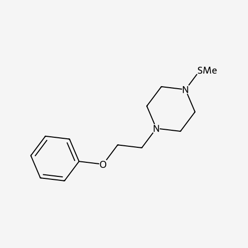 CSN1CCN(CCOc2ccccc2)CC1